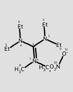 CCN(CC)C(N(CC)CC)=[N+](C)C.O=[N+]([O-])[O-]